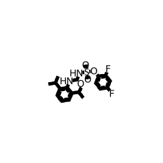 CC(C)c1cccc(C(C)C)c1NC(=O)NS(=O)(=O)Oc1ccc(F)cc1F